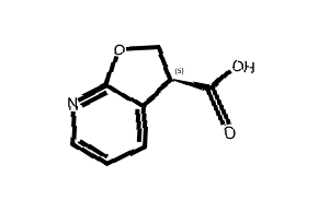 O=C(O)[C@@H]1COc2ncccc21